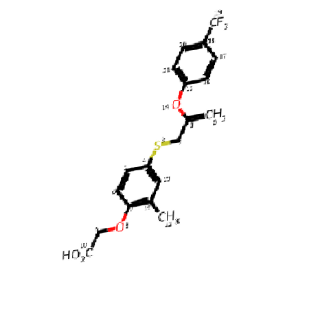 C=C(CSc1ccc(OCC(=O)O)c(C)c1)Oc1ccc(C(F)(F)F)cc1